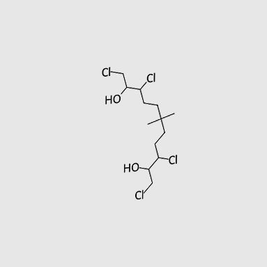 CC(C)(CCC(Cl)C(O)CCl)CCC(Cl)C(O)CCl